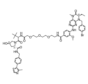 CC[C@@H]1C(=O)N(C)c2cnc(Nc3ccc(C(=O)NCCOCCOCCOCC(=O)NC(C(=O)N4C[C@H](O)C[C@H]4C(=O)NCc4ccc(-c5scnc5C)cc4)C(C)(C)C)cc3OC)nc2N1Cc1ccc(Br)cc1